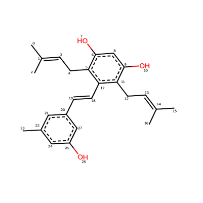 CC(C)=CCc1c(O)cc(O)c(CC=C(C)C)c1/C=C/c1cc(C)cc(O)c1